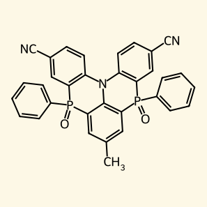 Cc1cc2c3c(c1)P(=O)(c1ccccc1)c1cc(C#N)ccc1N3c1ccc(C#N)cc1P2(=O)c1ccccc1